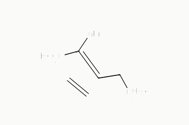 C=C.CCCCCCC/C=C(\CCC)C(=O)O